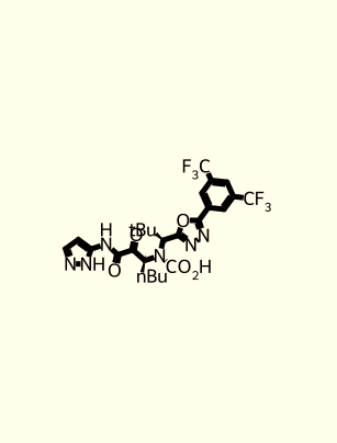 CCCC[C@@H](C(=O)C(=O)Nc1ccn[nH]1)N(C(=O)O)[C@H](c1nnc(-c2cc(C(F)(F)F)cc(C(F)(F)F)c2)o1)C(C)(C)C